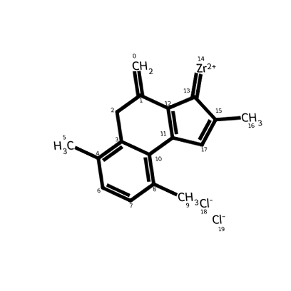 C=C1Cc2c(C)ccc(C)c2C2=C1[C](=[Zr+2])C(C)=C2.[Cl-].[Cl-]